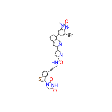 CC(C)c1cc(-c2cccc3cc(-c4ccc(C(=O)NCC#Cc5ccc6scc(N7CCC(=O)NC7=O)c6c5)nc4)ncc23)cc2c1n(C)c(=O)n2C